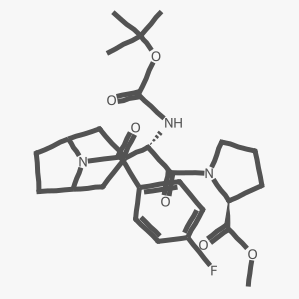 COC(=O)[C@@H]1CCCN1C(=O)[C@@H](NC(=O)OC(C)(C)C)C1CC2CCC(C1)N2C(=O)c1ccc(F)cc1